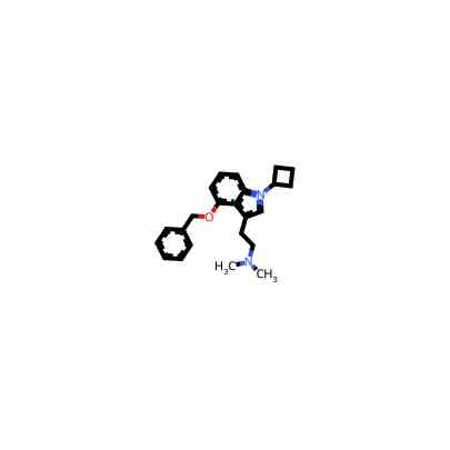 CN(C)CCc1cn(C2CCC2)c2cccc(OCc3ccccc3)c12